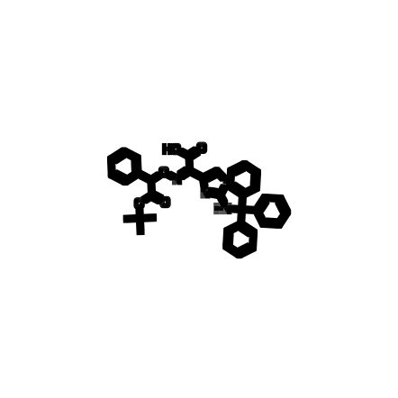 CC(C)(C)OC(=O)C(ON=C(C(=O)O)c1csc(NC(c2ccccc2)(c2ccccc2)c2ccccc2)n1)c1ccccc1